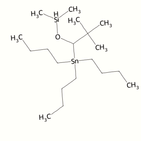 CCC[CH2][Sn]([CH2]CCC)([CH2]CCC)[CH](O[SiH](C)C)C(C)(C)C